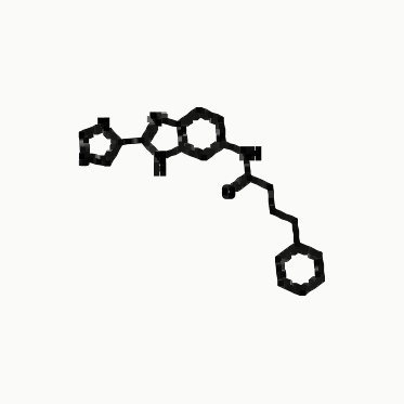 O=C(CCCc1ccccc1)Nc1ccc2c(c1)NC(c1cscn1)=[N+]2